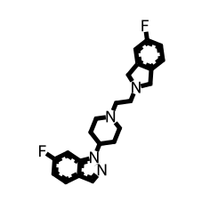 Fc1ccc2c(c1)CN(CCN1CCC(n3ncc4ccc(F)cc43)CC1)C2